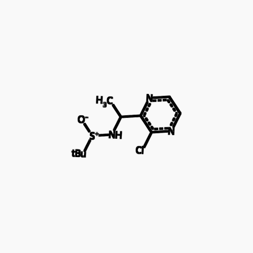 CC(N[S+]([O-])C(C)(C)C)c1nccnc1Cl